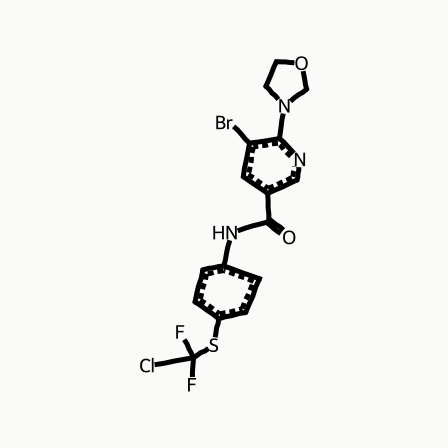 O=C(Nc1ccc(SC(F)(F)Cl)cc1)c1cnc(N2CCOC2)c(Br)c1